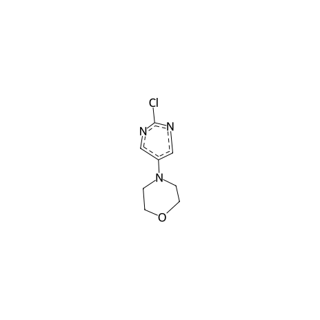 Clc1ncc(N2CCOCC2)cn1